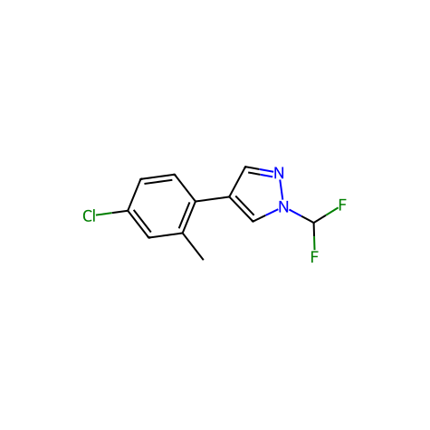 Cc1cc(Cl)ccc1-c1cnn(C(F)F)c1